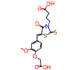 COc1cc(/C=C2\SC(=S)N(CCCC(=O)O)C2=O)ccc1OCC(=O)O